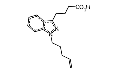 C=CCCCn1nc(CCCC(=O)O)c2ccccc21